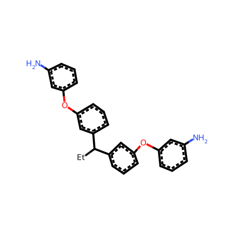 CCC(c1cccc(Oc2cccc(N)c2)c1)c1cccc(Oc2cccc(N)c2)c1